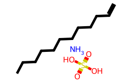 C=CCCCCCCCCCC.N.O=S(=O)(O)O